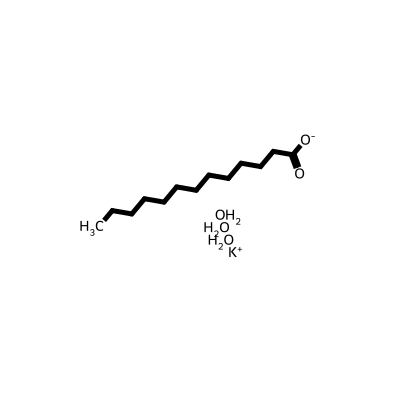 CCCCCCCCCCCCC(=O)[O-].O.O.O.[K+]